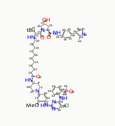 COc1cc(N2CCC(NC(=O)CCCCCCCCCCN[C@H](C(=O)N3C[C@H](O)C[C@H]3C(=O)NCc3ccc(-c4scnc4C)cc3)C(C)(C)C)CC2)ccc1Nc1ncc(Cl)c(Nc2ccccc2P(C)(C)=O)n1